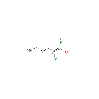 CCCCCCCC(Br)=C(O)Br